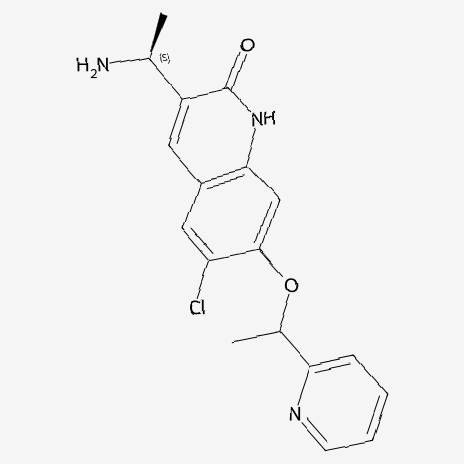 CC(Oc1cc2[nH]c(=O)c([C@H](C)N)cc2cc1Cl)c1ccccn1